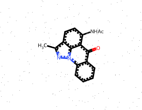 CC(=O)Nc1ccc2c(C)nn3c4ccccc4c(=O)c1c23